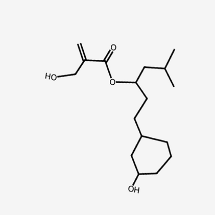 C=C(CO)C(=O)OC(CCC1CCCC(O)C1)CC(C)C